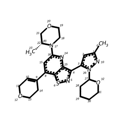 Cc1cc(-c2nsc3c(C4=CCOCC4)cc(N4CCOC[C@H]4C)nc23)n(C2CCCCO2)n1